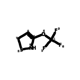 FC(F)(F)OC1=[C]CSN1